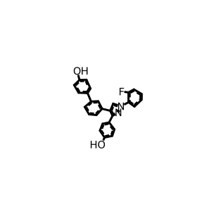 Oc1ccc(-c2cccc(-c3cn(-c4ccccc4F)nc3-c3ccc(O)cc3)c2)cc1